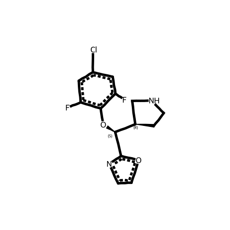 Fc1cc(Cl)cc(F)c1O[C@H](c1ncco1)[C@@H]1CCNC1